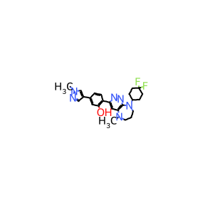 CN1CCCN(C2CCC(F)(F)CC2)c2nnc(-c3ccc(-c4cnn(C)c4)cc3O)cc21